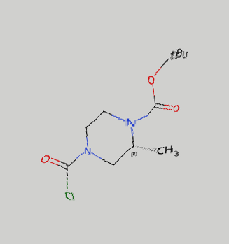 C[C@@H]1CN(C(=O)Cl)CCN1C(=O)OC(C)(C)C